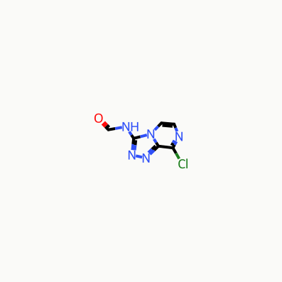 O=CNc1nnc2c(Cl)nccn12